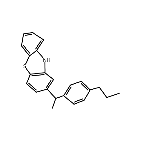 CCCc1ccc(C(C)c2ccc3c(c2)Nc2ccccc2S3)cc1